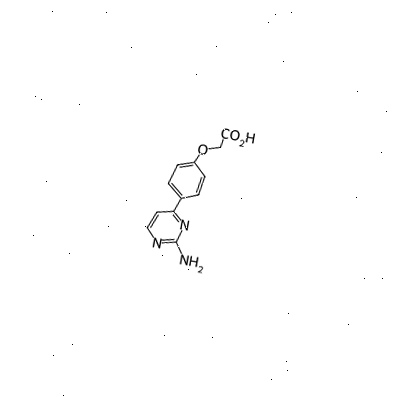 Nc1nccc(-c2ccc(OCC(=O)O)cc2)n1